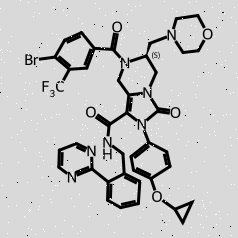 O=C(NCc1ccccc1-c1ncccn1)c1c2n(c(=O)n1-c1ccc(OC3CC3)cc1)C[C@H](CN1CCOCC1)N(C(=O)c1ccc(Br)c(C(F)(F)F)c1)C2